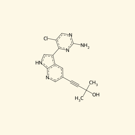 CC(C)(O)C#Cc1cnc2[nH]cc(-c3nc(N)ncc3Cl)c2c1